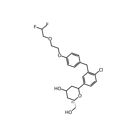 OC[C@@H]1CC(O)CC(c2ccc(Cl)c(Cc3ccc(OCCOCC(F)F)cc3)c2)O1